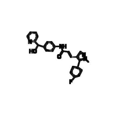 Cn1ncc(C=CC(=O)Nc2ccc(C(O)c3ccccn3)cc2)c1-c1ccc(F)cc1